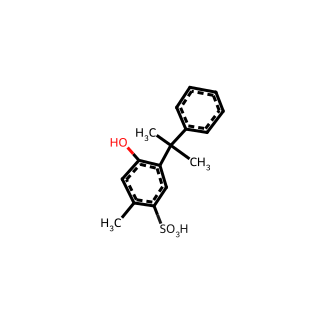 Cc1cc(O)c(C(C)(C)c2ccccc2)cc1S(=O)(=O)O